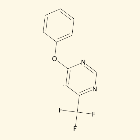 FC(F)(F)c1[c]c(Oc2ccccc2)ncn1